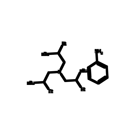 CCCCC(CC)CN(CC(CC)CCCC)CC(CC)CCCC.Nc1ccccc1